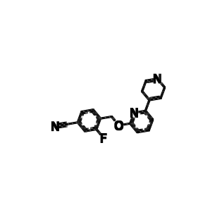 N#Cc1ccc(COc2cccc(C3=CCN=CC3)n2)c(F)c1